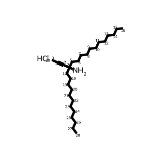 CC#CC(N)(CCCCCCCCCCCC)CCCCCCCCCCCC.Cl